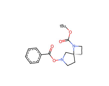 CC(C)(C)OC(=O)N1CC[C@@]12CCN(OC(=O)c1ccccc1)C2